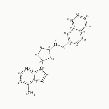 Cc1ncnc2c1ccn2C1CCC(OCc2ccc3cccnc3c2)C1